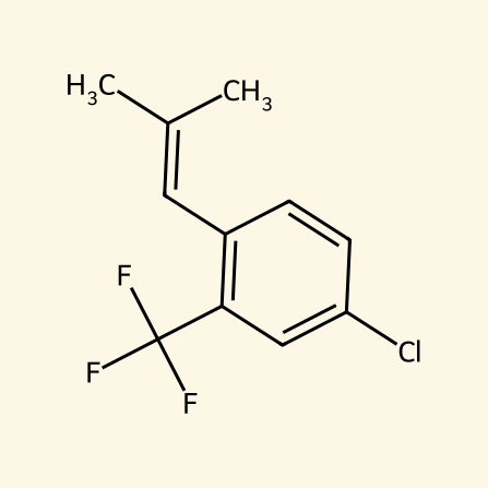 CC(C)=Cc1ccc(Cl)cc1C(F)(F)F